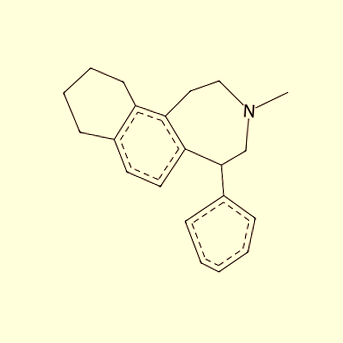 CN1CCc2c(ccc3c2CCCC3)C(c2ccccc2)C1